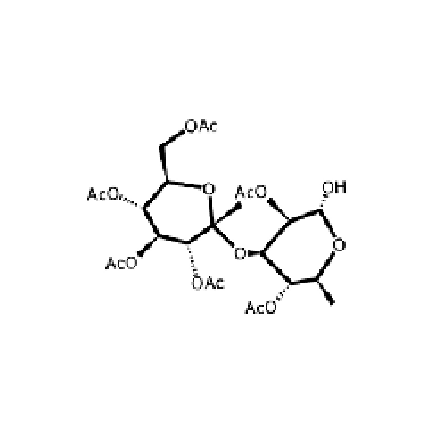 CC(=O)OC[C@H]1O[C@](C)(O[C@@H]2[C@@H](OC(C)=O)[C@H](C)O[C@@H](O)[C@@H]2OC(C)=O)[C@H](OC(C)=O)[C@@H](OC(C)=O)[C@@H]1OC(C)=O